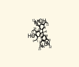 CCc1cc([C@](C)(c2cc(CC)c(O)c(CN(C)C)c2)c2cc(CN(C)C)c3c(c2)CN(C)O3)cc(CC)c1O